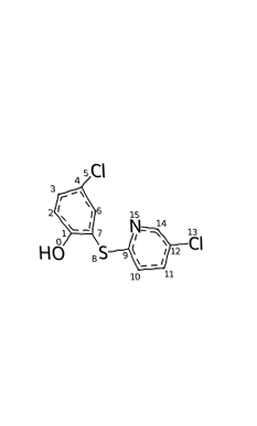 Oc1ccc(Cl)cc1Sc1ccc(Cl)cn1